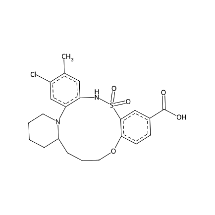 Cc1cc2c(cc1Cl)N1CCCCC1CCCOc1ccc(C(=O)O)cc1S(=O)(=O)N2